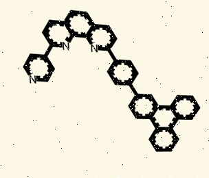 c1ccc2c(c1)c1ccccc1c1cc(-c3ccc(-c4ccc5ccc6ccc(-c7ccncc7)nc6c5n4)cc3)ccc21